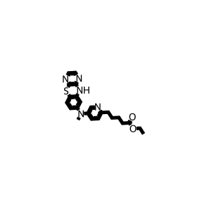 CCOC(=O)CCCCc1ccc(N(C)c2ccc3c(c2)Nc2nccnc2S3)cn1